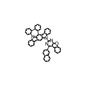 c1ccc2c(c1)-c1ccccc1-n1c3ccccc3c3cc4c(c-2c31)c1ccccc1n4-c1nc(-c2ccc3ccccc3c2)c2c(n1)oc1ccccc12